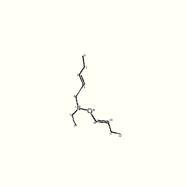 CCC=CCN(CC)OC=CCC